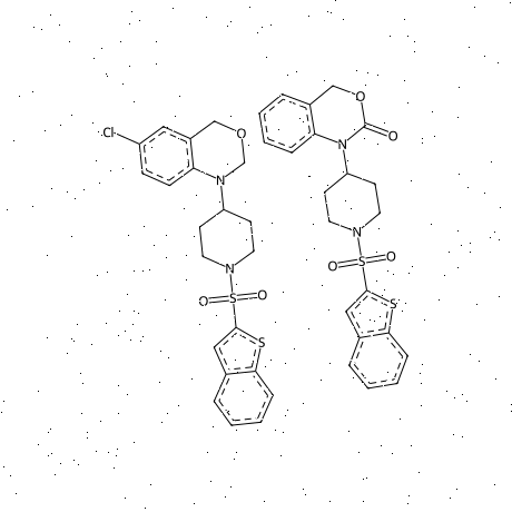 O=C1OCc2ccccc2N1C1CCN(S(=O)(=O)c2cc3ccccc3s2)CC1.O=S(=O)(c1cc2ccccc2s1)N1CCC(N2COCc3cc(Cl)ccc32)CC1